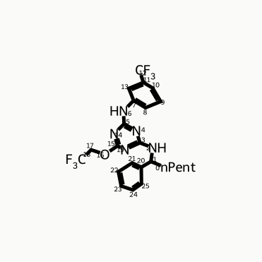 CCCCCC(Nc1nc(Nc2cccc(C(F)(F)F)c2)nc(OCC(F)(F)F)n1)c1ccccc1